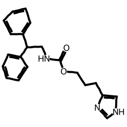 O=C(NCC(c1ccccc1)c1ccccc1)OCCCc1c[nH]cn1